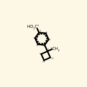 CC1(c2ccc(C(=O)O)cc2)CCC1